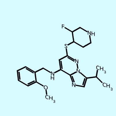 COc1ccccc1CNc1cc(SC2CCNCC2F)nn2c(C(C)C)cnc12